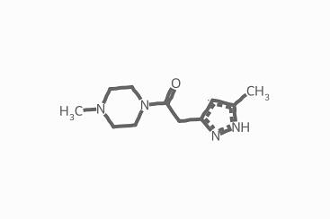 Cc1[c]c(CC(=O)N2CCN(C)CC2)n[nH]1